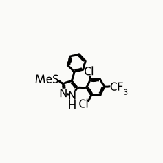 CSc1n[nH]c(-c2c(Cl)cc(C(F)(F)F)cc2Cl)c1-c1ccccc1